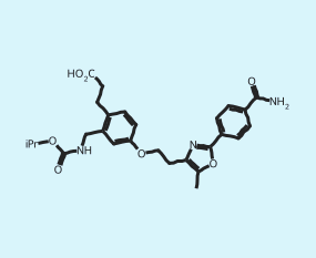 Cc1oc(-c2ccc(C(N)=O)cc2)nc1CCOc1ccc(CCC(=O)O)c(CNC(=O)OC(C)C)c1